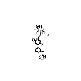 CC(C)(CCn1cc(F)c(-c2cccc(Oc3nccs3)c2)cc1=O)C(=O)NO